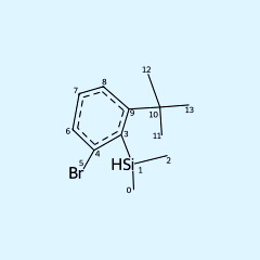 C[SiH](C)c1c(Br)cccc1C(C)(C)C